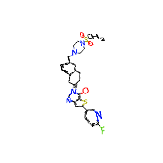 CS(=O)(=O)N1CCN(Cc2ccc3c(c2)CC[C@H](n2cnc4cc(-c5ccc(F)nc5)sc4c2=O)C3)CC1